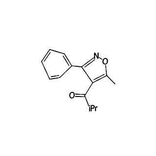 Cc1onc(-c2ccccc2)c1C(=O)C(C)C